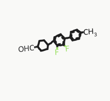 Cc1ccc(-c2ccc(C3CCC(C=O)CC3)c(F)c2F)cc1